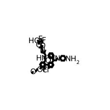 COCCOc1ccc(C(=O)NCC2CN(C(C)=O)C2)c(-c2cc(C(CNC3CCC(N)CC3)c3ccccc3)ccc2Cl)c1F.O=C(O)C(F)(F)F